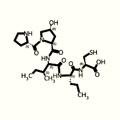 CCC[C@H](NC(=O)[C@@H](NC(=O)[C@@H]1C[C@@H](O)CN1C(=O)[C@@H]1CCCN1)[C@@H](C)CC)C(=O)N[C@@H](CS)C(=O)O